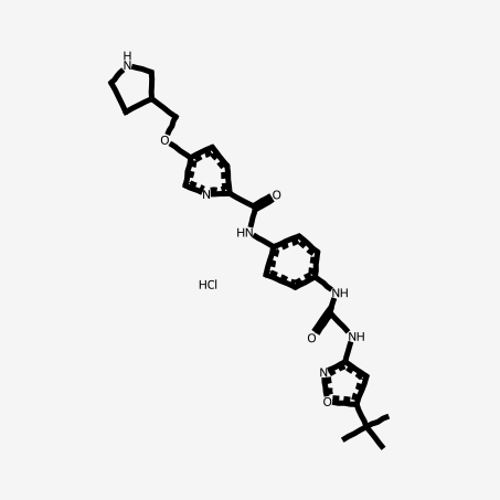 CC(C)(C)c1cc(NC(=O)Nc2ccc(NC(=O)c3ccc(OCC4CCNC4)cn3)cc2)no1.Cl